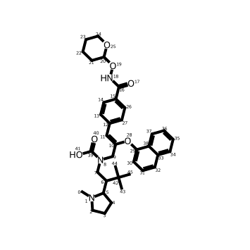 CN1CCCC1C(CN(CC(=Cc1ccc(C(=O)NOC2CCCCO2)cc1)Oc1cccc2ccccc12)C(=O)O)C(C)(C)C